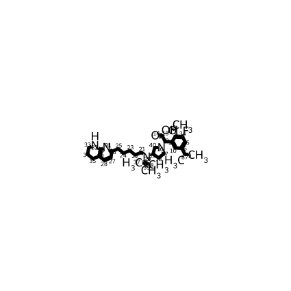 COc1c(F)cc(C(C)C)cc1[C@H](C(=O)O)N1CC[C@@H](N(CCCCCc2ccc3c(n2)NCCC3)C(C)(C)C)C1